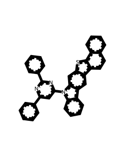 c1ccc(-c2cc(-n3c4ccccc4c4cc5c(cc43)sc3c4ccccc4ccc53)nc(-c3ccccc3)n2)cc1